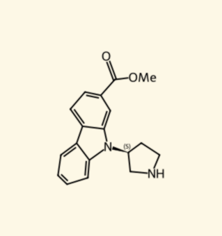 COC(=O)c1ccc2c3ccccc3n([C@H]3CCNC3)c2c1